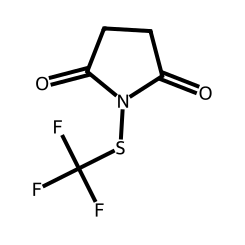 O=C1CCC(=O)N1SC(F)(F)F